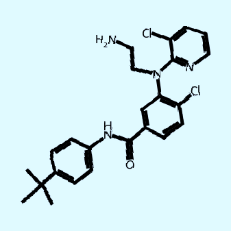 CC(C)(C)c1ccc(NC(=O)c2ccc(Cl)c(N(CCN)c3ncccc3Cl)c2)cc1